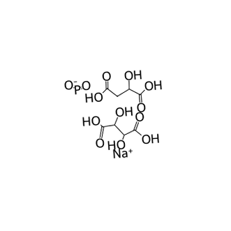 O=C(O)C(O)C(O)C(=O)O.O=C(O)CC(O)C(=O)O.O=P[O-].[Na+]